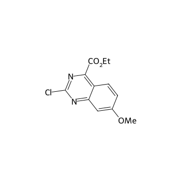 CCOC(=O)c1nc(Cl)nc2cc(OC)ccc12